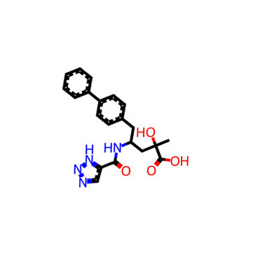 CC(O)(CC(Cc1ccc(-c2ccccc2)cc1)NC(=O)c1cnn[nH]1)C(=O)O